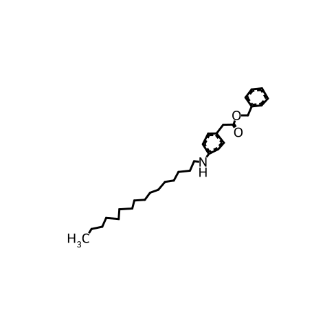 CCCCCCCCCCCCCCCCNc1ccc(CC(=O)OCc2ccccc2)cc1